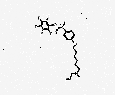 C=CCN(C)CCCCCCOc1ccc(N(C)C(=S)Oc2c(F)c(F)c(F)c(F)c2F)cc1